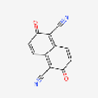 N#CC1=C2C=CC(=O)C(C#N)=C2C=CC1=O